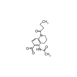 CCCC(=O)N1CCCc2c1ccc([N+](=O)[O-])c2NC(C)=O